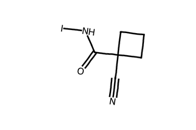 N#CC1(C(=O)NI)CCC1